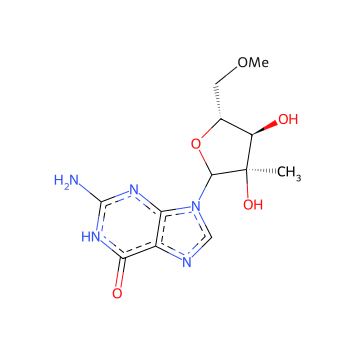 COC[C@H]1OC(n2cnc3c(=O)[nH]c(N)nc32)[C@](C)(O)[C@@H]1O